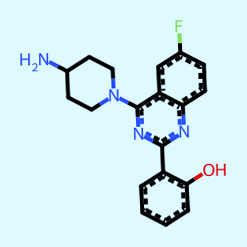 NC1CCN(c2nc(-c3ccccc3O)nc3ccc(F)cc23)CC1